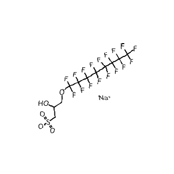 O=S(=O)([O-])CC(O)COC(F)(F)C(F)(F)C(F)(F)C(F)(F)C(F)(F)C(F)(F)C(F)(F)C(F)(F)F.[Na+]